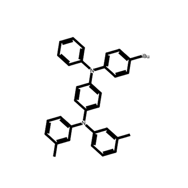 CCC(C)c1ccc(N(c2ccccc2)c2ccc(N(c3cccc(C)c3)c3cccc(C)c3)cc2)cc1